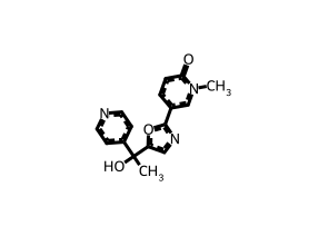 Cn1cc(-c2ncc(C(C)(O)c3ccncc3)o2)ccc1=O